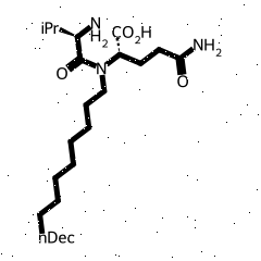 CCCCCCCCCCCCCCCCCCN(C(=O)[C@H](N)C(C)C)[C@@H](CCC(N)=O)C(=O)O